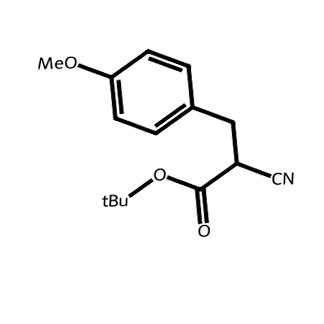 COc1ccc(CC(C#N)C(=O)OC(C)(C)C)cc1